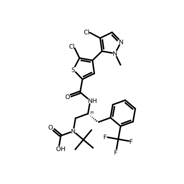 Cn1ncc(Cl)c1-c1cc(C(=O)N[C@H](Cc2ccccc2C(F)(F)F)CN(C(=O)O)C(C)(C)C)sc1Cl